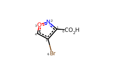 O=C(O)c1nocc1Br